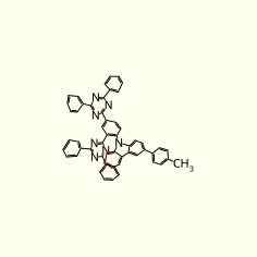 Cc1ccc(-c2ccc3c(c2)c2ccccc2n3-c2ccc(-c3nc(-c4ccccc4)nc(-c4ccccc4)n3)cc2-c2nc(-c3ccccc3)nc(-c3ccccc3)n2)cc1